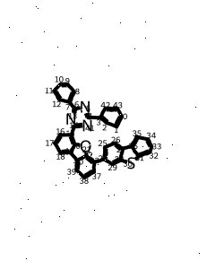 c1ccc(-c2nc(-c3ccccc3)nc(-c3cccc4c3oc3c(-c5ccc6c(c5)sc5ccccc56)cccc34)n2)cc1